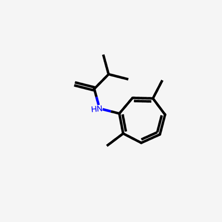 C=C(NC1=C(C)C=C=CC(C)=C1)C(C)C